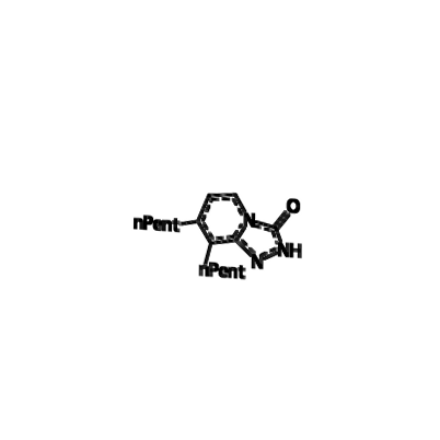 CCCCCc1ccn2c(=O)[nH]nc2c1CCCCC